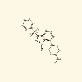 CNC1CCN(c2ncnc3c2c(Br)cn3S(=O)(=O)c2ccccc2)CC1